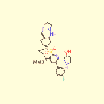 CO[C@@H](c1cc(-c2ccc(F)cc2)c(C2NCCC2O)nc1S(=O)(=O)[C@@H]1CCC2=CN3C=CCN3NC2C1)C1CC1